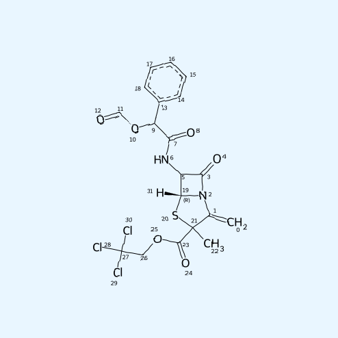 C=C1N2C(=O)C(NC(=O)C(OC=O)c3ccccc3)[C@H]2SC1(C)C(=O)OCC(Cl)(Cl)Cl